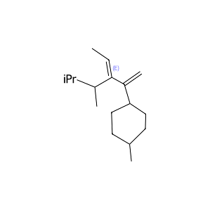 C=C(/C(=C/C)C(C)C(C)C)C1CCC(C)CC1